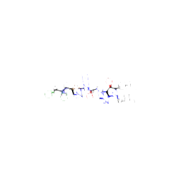 CC1C(=O)c2c(ncn2CC(=O)Nc2ncc(/C=C(\Cl)CCl)s2)N1C